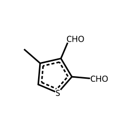 Cc1csc(C=O)c1C=O